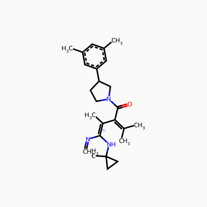 C=N/C(NC1(C)CC1)=C(\C)C(C(=O)N1CCC(c2cc(C)cc(C)c2)C1)=C(C)C